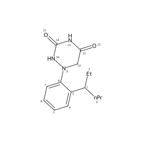 CCCC(CC)c1ccccc1N1CC(=O)NC(=O)N1